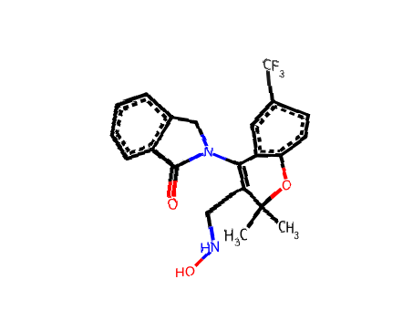 CC1(C)Oc2ccc(C(F)(F)F)cc2C(N2Cc3ccccc3C2=O)=C1CNO